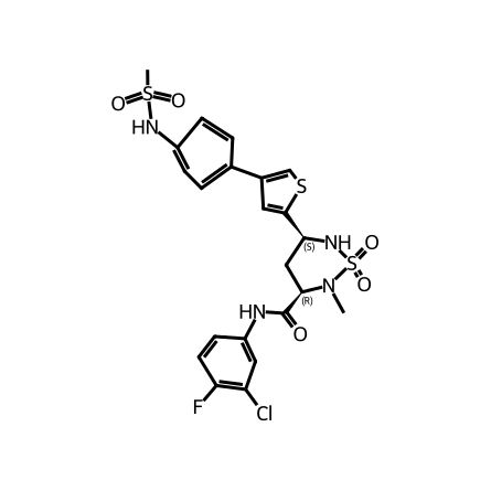 CN1[C@@H](C(=O)Nc2ccc(F)c(Cl)c2)C[C@@H](c2cc(-c3ccc(NS(C)(=O)=O)cc3)cs2)NS1(=O)=O